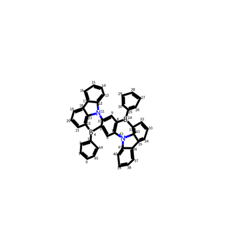 c1ccc(B2c3cc4c(cc3-n3c5ccccc5c5cccc2c53)B(c2ccccc2)c2cccc3c5ccccc5n-4c23)cc1